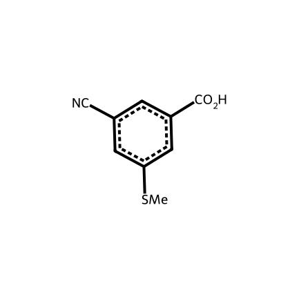 CSc1cc(C#N)cc(C(=O)O)c1